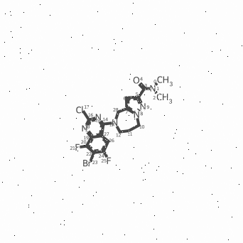 CN(C)C(=O)c1cc2n(n1)CCCN(c1nc(Cl)nc3c(F)c(Br)c(F)cc13)C2